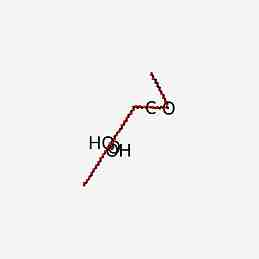 CCCCCCCCCCCCCCCCCCCCCC[C@@H](C(=O)O)[C@H](O)CCCCCCCCCCCCCCCCCCC[C@H](C)/C=C/CCCCCCCCCCCC[C@H]1O[C@@H]1[C@H](C)CCCCCCCCCCCCCCCC